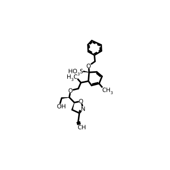 C#CC1=NO[C@H]([C@@H](CO)OCC(C)C2C=C(C)C=C[C@]2(OCc2ccccc2)S(=O)(=O)O)C1